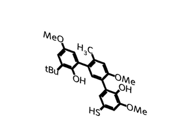 COc1cc(-c2cc(-c3cc(S)cc(OC)c3O)c(OC)cc2C)c(O)c(C(C)(C)C)c1